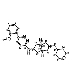 COc1ccccc1-c1ccc(NC2C[C@@H]3CN(CC4CCOCC4)C[C@@H]3C2)nn1